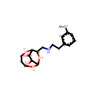 COc1cccc(CCNCC2OC3OCCCOC2C(O)C3O)c1